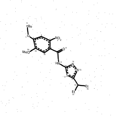 CCCCOc1cc([N+](=O)[O-])c(C(=O)Nc2nnc(C(CC)CC)s2)cc1OC